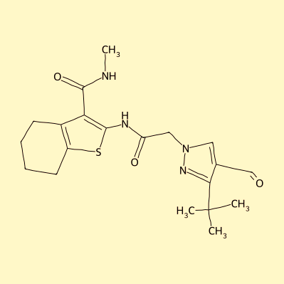 CNC(=O)c1c(NC(=O)Cn2cc(C=O)c(C(C)(C)C)n2)sc2c1CCCC2